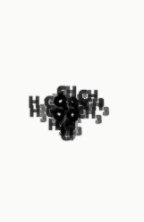 CCC(C)C1=CCC([Si](c2cc(C)cc(C)c2)(c2cc(C)cc(C)c2)c2cc(C)cc(C)c2)=[C]1[Ti+3].[Cl-].[Cl-].[Cl-]